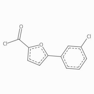 O=C(Cl)c1ccc(-c2cccc(Cl)c2)o1